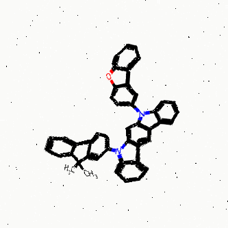 CC1(C)c2ccccc2-c2ccc(-n3c4ccccc4c4cc5c6ccccc6n(-c6ccc7oc8ccccc8c7c6)c5cc43)cc21